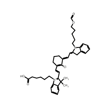 CC1(C)C(/C=C/C2=C(Cl)C(=C/C=C3\Cc4ccccc4N3CCCCCOC=O)/CCC2)=[N+](CCCCCC(=O)O)c2ccccc21